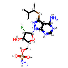 CC(C)[C@@H](C)Sc1nn([C@@H]2O[C@H](COS(N)(=O)=O)[C@@H](O)[C@@H]2F)c2ncnc(N)c12